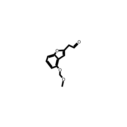 COCOc1cccc2oc(CC=O)cc12